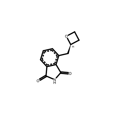 O=C1NC(=O)c2c(C[C@@H]3CCO3)cccc21